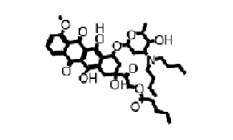 CCCCC(=O)OCC(=O)C1(O)Cc2c(O)c3c(c(O)c2C(OC2CC(N(CCCC)CCCC)C(O)C(C)O2)C1)C(=O)c1c(OC)cccc1C3=O